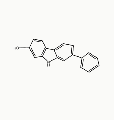 Oc1ccc2c(c1)[nH]c1cc(-c3ccccc3)ccc12